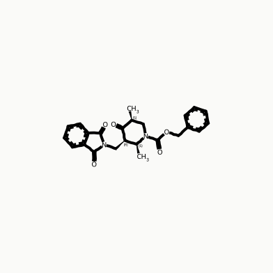 C[C@H]1CN(C(=O)OCc2ccccc2)[C@@H](C)[C@@H](CN2C(=O)c3ccccc3C2=O)C1=O